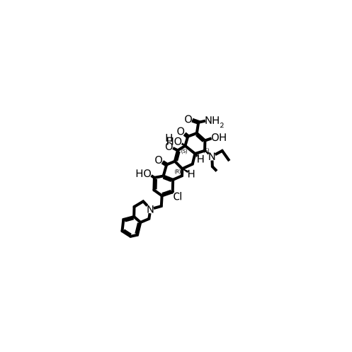 CCN(CC)[C@@H]1C(O)=C(C(N)=O)C(=O)[C@@]2(O)C(O)=C3C(=O)c4c(O)cc(CN5CCc6ccccc6C5)c(Cl)c4C[C@H]3C[C@@H]12